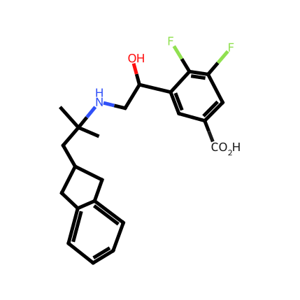 CC(C)(CC1Cc2ccccc2C1)NCC(O)c1cc(C(=O)O)cc(F)c1F